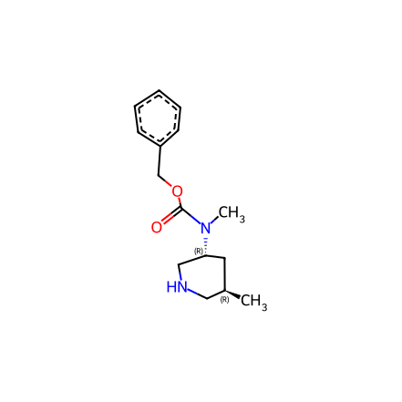 C[C@H]1CNC[C@H](N(C)C(=O)OCc2ccccc2)C1